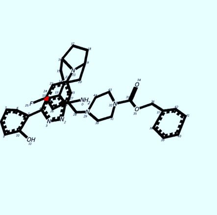 Nc1nnc(-c2ccccc2O)cc1N1CC2CCC(C1)N2c1cc(F)cc(CN2CCN(C(=O)OCc3ccccc3)CC2)c1